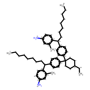 CCCCCCCCC(c1ccc(C2(c3ccc(C(CCCCCCCC)c4ccc(N)cc4C)cc3)CCC(CC)CC2)cc1)c1ccc(N)cc1C